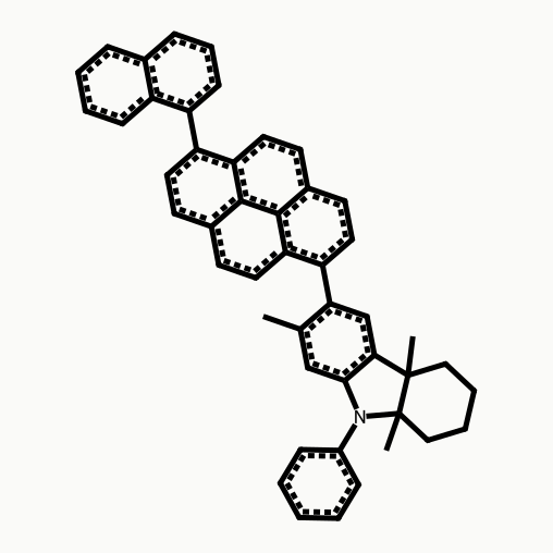 Cc1cc2c(cc1-c1ccc3ccc4c(-c5cccc6ccccc56)ccc5ccc1c3c54)C1(C)CCCCC1(C)N2c1ccccc1